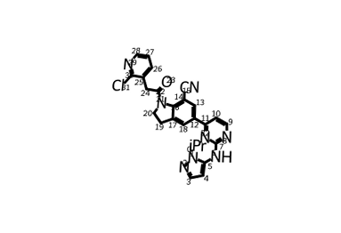 CC(C)n1nccc1Nc1nccc(-c2cc(C#N)c3c(c2)CCN3C(=O)Cc2cccnc2Cl)n1